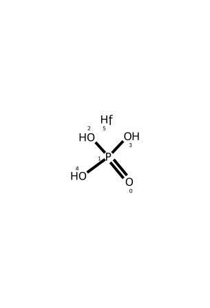 O=P(O)(O)O.[Hf]